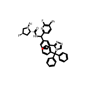 CC(=O)N1C[C@H](F)C[C@H]1C(=O)NC(c1cccc(-c2nncn2C(c2ccccc2)(c2ccccc2)c2ccccc2)c1)c1ccc(C(C)C)c(F)n1